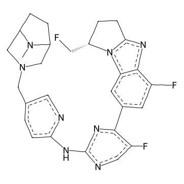 CN1C2CCC1CN(Cc1ccc(Nc3ncc(F)c(-c4cc(F)c5nc6n(c5c4)[C@H](CF)CC6)n3)nc1)C2